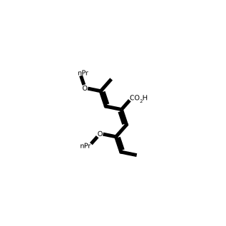 C\C=C(/C=C(\C=C(/C)OCCC)C(=O)O)OCCC